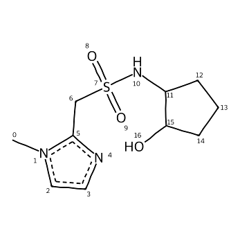 Cn1ccnc1CS(=O)(=O)NC1CCCC1O